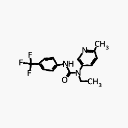 CCN(C(=O)Nc1ccc(C(F)(F)F)cc1)c1ccc(C)nc1